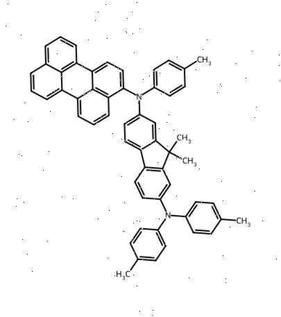 Cc1ccc(N(c2ccc(C)cc2)c2ccc3c(c2)C(C)(C)c2cc(N(c4ccc(C)cc4)c4ccc5c6cccc7cccc(c8cccc4c85)c76)ccc2-3)cc1